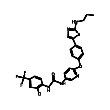 CCCNc1ncc(-c2ccc(Oc3ccc(NC(=O)Nc4ccc(C(F)(F)F)cc4Cl)cn3)cc2)s1